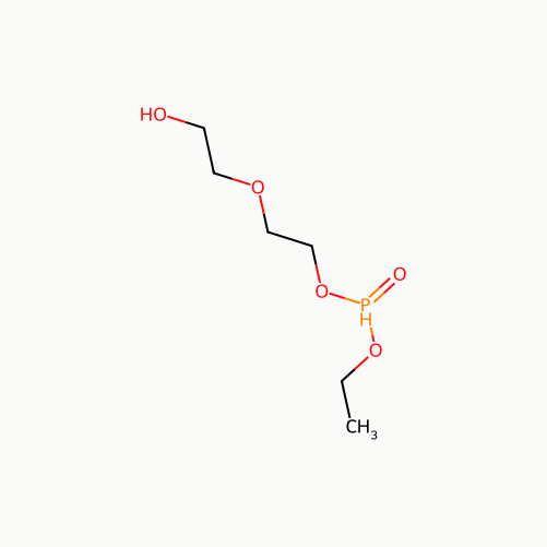 CCO[PH](=O)OCCOCCO